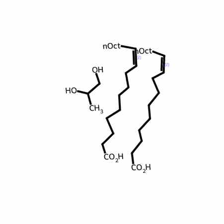 CC(O)CO.CCCCCCCC/C=C\CCCCCCCC(=O)O.CCCCCCCC/C=C\CCCCCCCC(=O)O